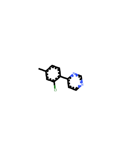 Cc1ccc(-c2ccncn2)c(Cl)c1